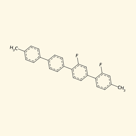 Cc1ccc(-c2ccc(-c3ccc(-c4ccc(C)cc4F)cc3F)cc2)cc1